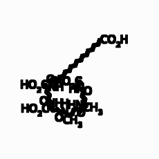 CC(CCC(=O)NCC(=O)O)NC(=O)CCC(C)NC(=O)CC[C@H](NC(=O)CCC(NC(=O)CCCCCCCCCCCCCCCCC(=O)O)C(=O)O)C(=O)O